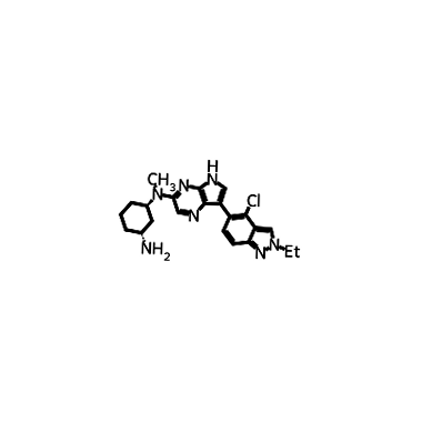 CCn1cc2c(Cl)c(-c3c[nH]c4nc(N(C)[C@@H]5CCC[C@@H](N)C5)cnc34)ccc2n1